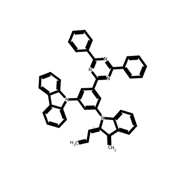 C=C/C=c1\c(=C)c2ccccc2n1-c1cc(-c2nc(-c3ccccc3)nc(-c3ccccc3)n2)cc(-n2c3ccccc3c3ccccc32)c1